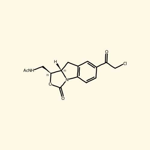 CC(=O)NC[C@@H]1OC(=O)N2c3ccc(C(=O)CCl)cc3C[C@@H]12